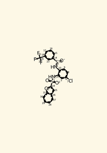 O=S(=O)(Nc1cc(Cl)ccc1N[S+]([O-])c1cccc(C(F)(F)F)c1)c1cc2ccccc2o1